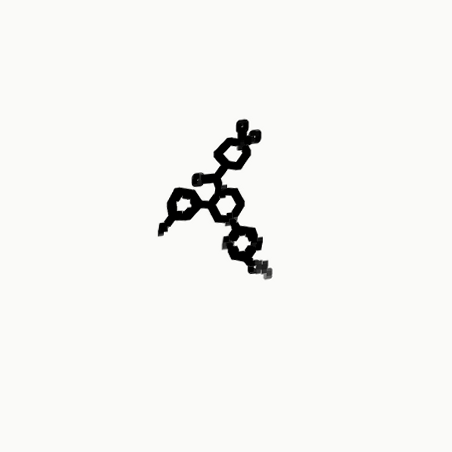 Cc1cnc(N2CCN(C(=O)C3CCS(=O)(=O)CC3)C(c3cccc(F)c3)C2)cn1